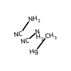 N#CN.N#CN.[CH3][Hg]